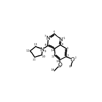 COc1cc2ncnc(N3CCCC3)c2cc1OC